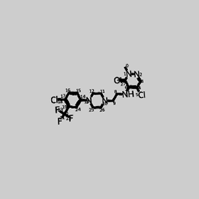 Cn1ncc(Cl)c(NCCN2CCN(c3ccc(Cl)c(C(F)(F)F)c3)CC2)c1=O